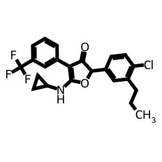 CCCc1cc(C2OC(NC3CC3)=C(c3cccc(C(F)(F)F)c3)C2=O)ccc1Cl